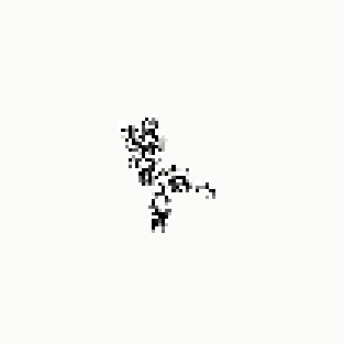 Cc1ccc(C(NC(=O)c2cc(-n3ncc(=O)[nH]c3=O)ccc2Cl)C2CCC(F)(F)CC2)s1